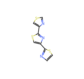 [c]1csc(-c2csc(-c3cscn3)n2)n1